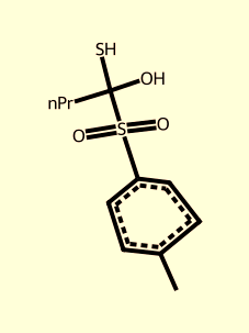 CCCC(O)(S)S(=O)(=O)c1ccc(C)cc1